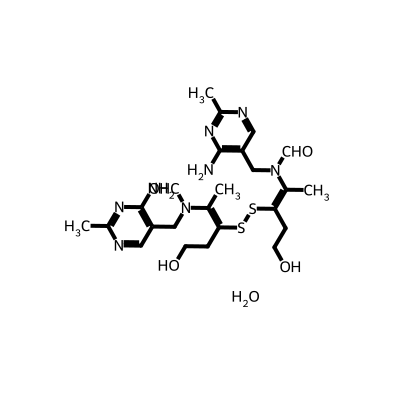 CC(=C(CCO)SSC(CCO)=C(C)N(C=O)Cc1cnc(C)nc1N)N(C=O)Cc1cnc(C)nc1N.O